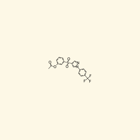 CC(=O)Oc1cccc(S(=O)(=O)c2cnn(-c3ccc(C(F)(F)F)cc3)c2)c1